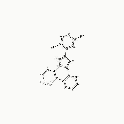 C/N=N\C(=C(/C)c1cccnc1)c1nc(-c2cc(F)ccc2F)no1